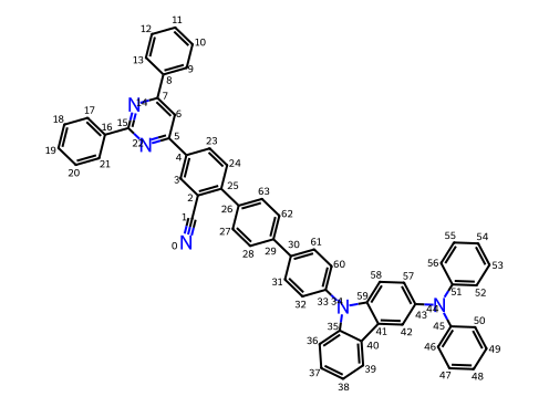 N#Cc1cc(-c2cc(-c3ccccc3)nc(-c3ccccc3)n2)ccc1-c1ccc(-c2ccc(-n3c4ccccc4c4cc(N(c5ccccc5)c5ccccc5)ccc43)cc2)cc1